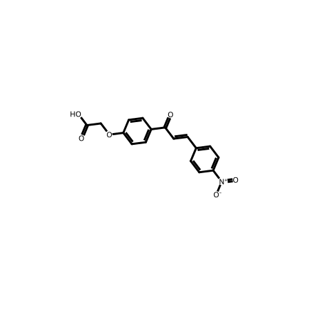 O=C(O)COc1ccc(C(=O)C=Cc2ccc([N+](=O)[O-])cc2)cc1